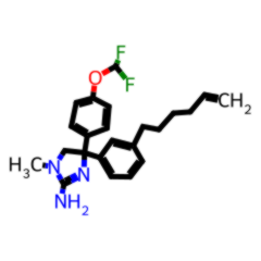 C=CCCCCc1cccc(C2(c3ccc(OC(F)F)cc3)CN(C)C(N)=N2)c1